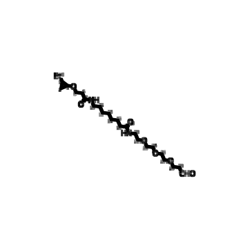 CCC1CC1OCCC(=O)NCCCCCCCC(=O)NCCOCCOCCOCCC=O